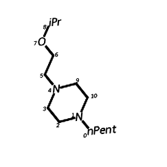 CCCCCN1CCN(CCOC(C)C)CC1